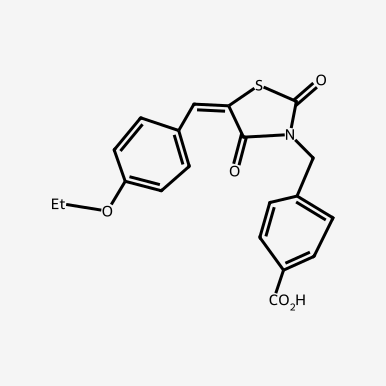 CCOc1ccc(C=C2SC(=O)N(Cc3ccc(C(=O)O)cc3)C2=O)cc1